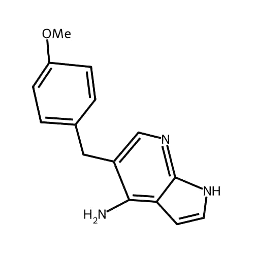 COc1ccc(Cc2cnc3[nH]ccc3c2N)cc1